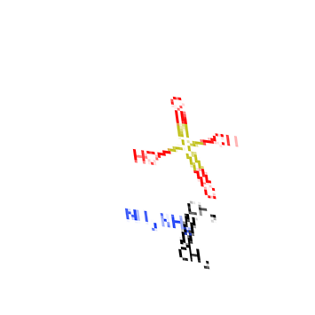 C=C.N.N.O=S(=O)(O)O